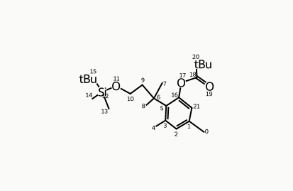 Cc1cc(C)c(C(C)(C)CCO[Si](C)(C)C(C)(C)C)c(OC(=O)C(C)(C)C)c1